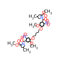 C=C1C[C@@H](C(=O)OC)N(C(=O)c2cc(OC)c(OCCCCCOc3cc([N+](=O)[O-])c(C(=O)N4CC(=C)C[C@H]4C(=O)OC)cc3OC)cc2[N+](=O)[O-])C1